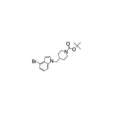 CC(C)(C)OC(=O)N1CCC(Cn2ccc3c(Br)cccc32)CC1